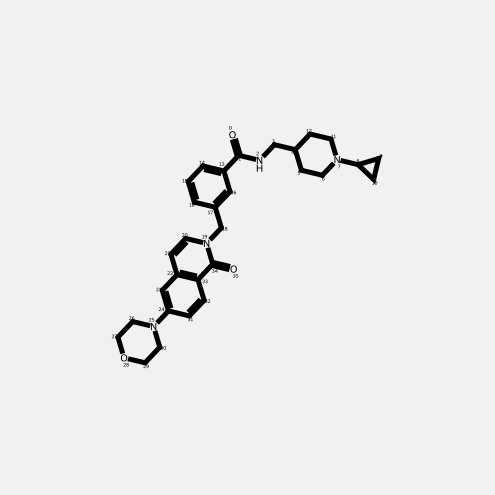 O=C(NCC1CCN(C2CC2)CC1)c1cccc(Cn2ccc3cc(N4CCOCC4)ccc3c2=O)c1